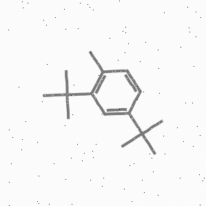 Cc1ccc(C(C)(C)C)[c]c1C(C)(C)C